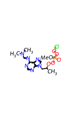 CO[P@@](=O)(OOCl)OOC(C)Cn1cnc2c(N=CN(C)C)ncnc21